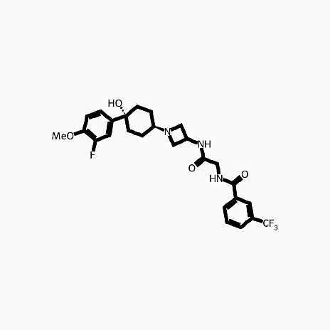 COc1ccc([C@]2(O)CC[C@H](N3CC(NC(=O)CNC(=O)c4cccc(C(F)(F)F)c4)C3)CC2)cc1F